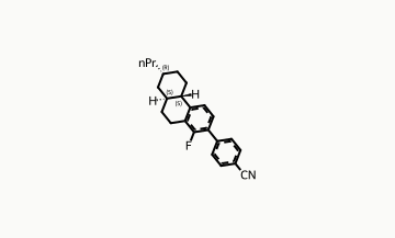 CCC[C@@H]1CC[C@@H]2c3ccc(-c4ccc(C#N)cc4)c(F)c3CC[C@H]2C1